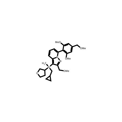 COCc1cc(OC)c(-c2cccc3c([N+](C)(CC4CC4)C4CCOC4)c(COC)nn23)c(OC)c1